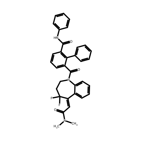 CN(C)C(=O)C=C1c2ccccc2N(C(=O)c2cccc(C(=O)Nc3ccccc3)c2-c2ccccc2)CCC1(F)F